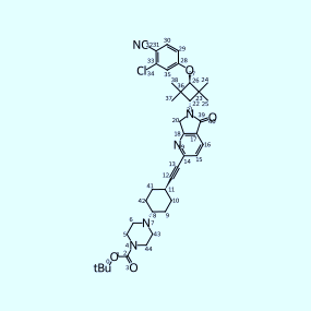 CC(C)(C)OC(=O)N1CCN([C@H]2CC[C@H](C#Cc3ccc4c(n3)CN([C@H]3C(C)(C)[C@H](Oc5ccc(C#N)c(Cl)c5)C3(C)C)C4=O)CC2)CC1